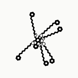 c1ccc(CCCCCCCCCOCC2=C(COCCCCCCCCCc3ccccc3)C(COCCCCCCCCCc3ccccc3)C(COCCCCCCCCc3ccccc3)(OCOCCCCCCCCc3ccccc3)C(COCCCCCCCCc3ccccc3)=C2c2ccccc2)cc1